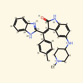 CCN1CCC(Nc2ccc3c(c2)/C(=C(\c2ccc(C)cc2)c2nc4ccccc4[nH]2)C(=O)N3)CC1